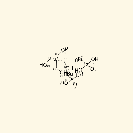 CCCCP(=O)(O)O.CCCCP(=O)(O)O.OCC(CO)(CO)CO